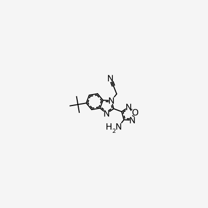 CC(C)(C)c1ccc2c(c1)nc(-c1nonc1N)n2CC#N